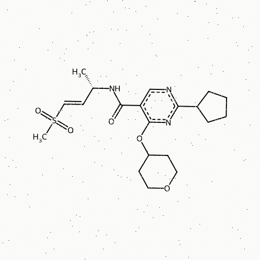 C[C@@H](/C=C/S(C)(=O)=O)NC(=O)c1cnc(C2CCCC2)nc1OC1CCOCC1